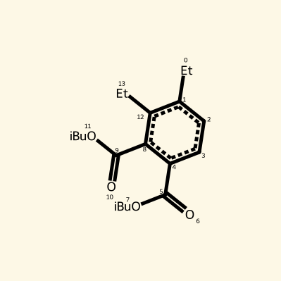 CCc1ccc(C(=O)OCC(C)C)c(C(=O)OCC(C)C)c1CC